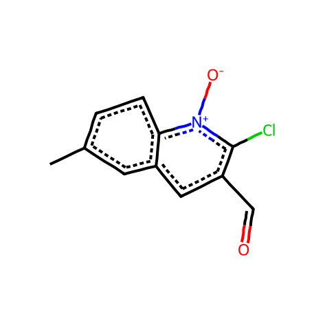 Cc1ccc2c(c1)cc(C=O)c(Cl)[n+]2[O-]